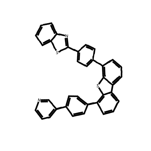 c1cncc(-c2ccc(-c3cccc4c3sc3c(-c5ccc(-c6nc7ccccc7s6)cc5)cccc34)cc2)c1